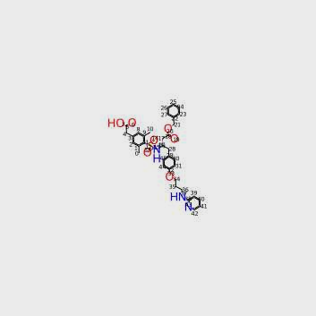 Cc1cc(CC(=O)O)cc(C)c1S(=O)(=O)N[C@H](CC(=O)OCc1ccccc1)Cc1ccc(OCCCNc2ccccn2)cc1